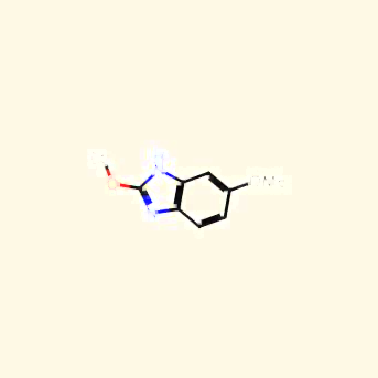 CCOc1nc2ccc(OC)cc2[nH]1